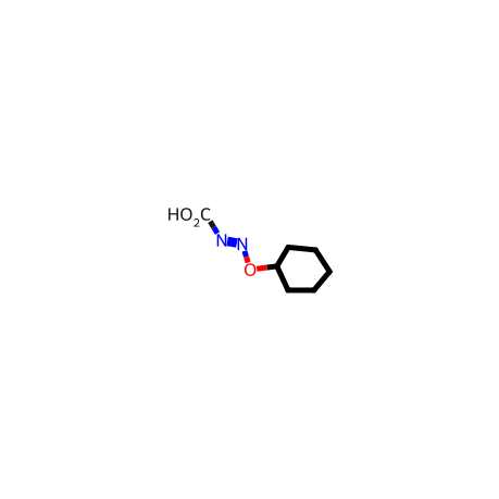 O=C(O)N=NOC1CCCCC1